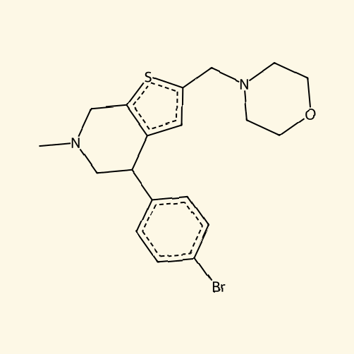 CN1Cc2sc(CN3CCOCC3)cc2C(c2ccc(Br)cc2)C1